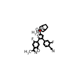 Cc1noc2cc(-c3sc(C(=O)N4C5CCC4CC(N)C5)cc3-c3ccc(C#N)c(F)c3)c(F)cc12